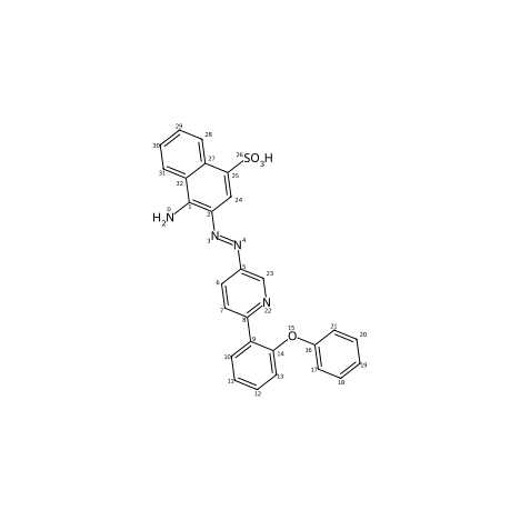 Nc1c(N=Nc2ccc(-c3ccccc3Oc3ccccc3)nc2)cc(S(=O)(=O)O)c2ccccc12